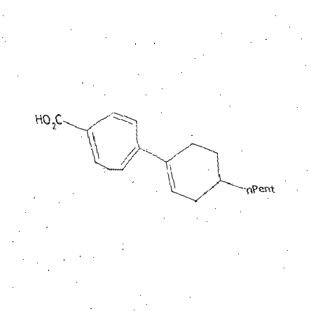 CCCCCC1CC=C(c2ccc(C(=O)O)cc2)CC1